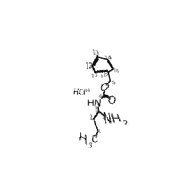 CCCC(N)NC(=O)OCc1ccccc1.Cl